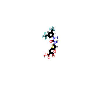 COC(=O)c1cc2sc(N(C)C(=O)Nc3cc(C(F)(F)F)cc(C(F)(F)F)c3)cc2oc1=O